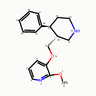 CCCOc1ncccc1OC[C@H]1CNCC[C@@H]1c1ccccc1